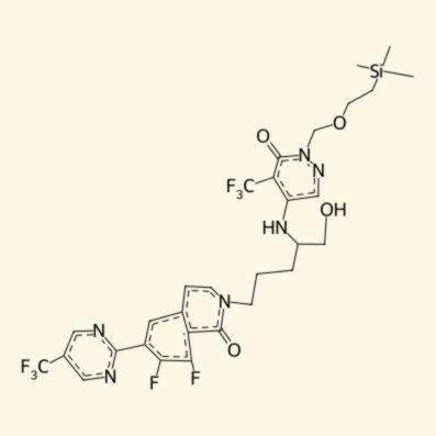 C[Si](C)(C)CCOCn1ncc(NC(CO)CCCn2ccc3cc(-c4ncc(C(F)(F)F)cn4)c(F)c(F)c3c2=O)c(C(F)(F)F)c1=O